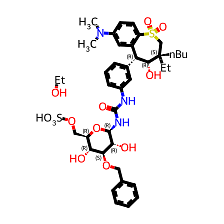 CCCC[C@]1(CC)CS(=O)(=O)c2ccc(N(C)C)cc2[C@@H](c2cccc(NC(=O)N[C@@H]3O[C@H](COS(=O)(=O)O)[C@@H](O)[C@H](OCc4ccccc4)[C@H]3O)c2)[C@H]1O.CCO